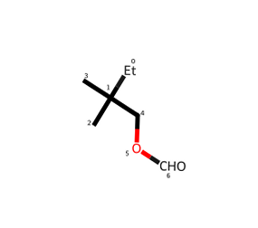 CCC(C)(C)COC=O